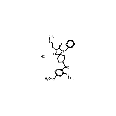 COc1ccc(C(=O)N2CCC3(CC2)N[C@@H](CCSC)C(=O)N3Cc2ccccc2)c(OC)c1.Cl